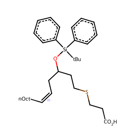 CCCCCCCC/C=C\CC(CCSCCC(=O)O)O[Si](c1ccccc1)(c1ccccc1)C(C)(C)C